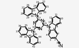 N#Cc1ccc2c(c1)c1ccccc1n2-c1nc(-n2c3ccccc3c3ccccc32)nc(-n2c3ccccc3c3ccccc32)n1